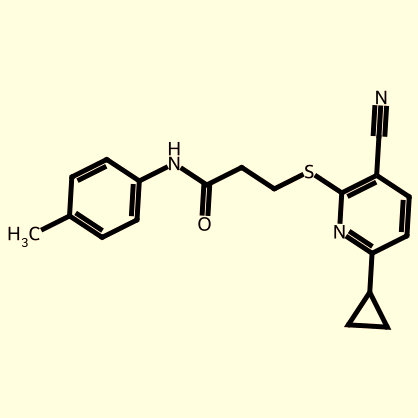 Cc1ccc(NC(=O)CCSc2nc(C3CC3)ccc2C#N)cc1